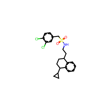 O=S(=O)(Cc1ccc(Cl)c(Cl)c1)NCCC1CCC(C2CC2)c2ccccc21